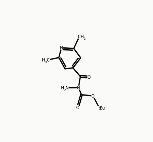 Cc1cc(C(=O)N(N)C(=O)OC(C)(C)C)cc(C)n1